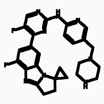 Fc1cnc(Nc2ccc(CN3CCNCC3)cn2)nc1-c1cc(F)c2nc3n(c2c1)C1(CC3)CC1